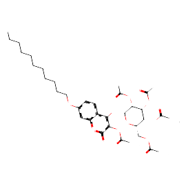 CCCCCCCCCCCOc1ccc2c(O[C@H]3O[C@H](COC(C)=O)[C@@H](OC(C)=O)[C@H](OC(C)=O)[C@@H]3OC(C)=O)c(OC(C)=O)c(=O)oc2c1